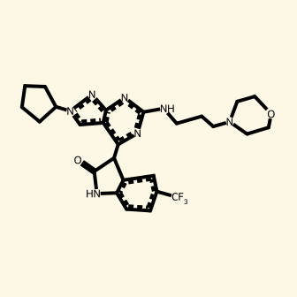 O=C1Nc2ccc(C(F)(F)F)cc2C1c1nc(NCCCN2CCOCC2)nc2nn(C3CCCC3)cc12